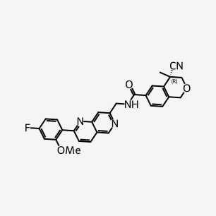 COc1cc(F)ccc1-c1ccc2cnc(CNC(=O)c3ccc4c(c3)[C@](C)(C#N)COC4)cc2n1